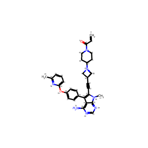 C=CC(=O)N1CCC(N2CC(C#Cc3c(-c4ccc(Oc5cccc(C)n5)cc4)c4c(N)ncnc4n3C)C2)CC1